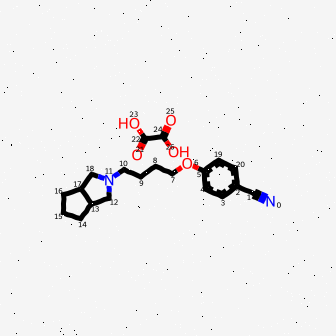 N#Cc1ccc(OCCCCN2CC3CCCC3C2)cc1.O=C(O)C(=O)O